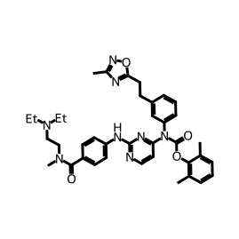 CCN(CC)CCN(C)C(=O)c1ccc(Nc2nccc(N(C(=O)Oc3c(C)cccc3C)c3cccc(CCc4nc(C)no4)c3)n2)cc1